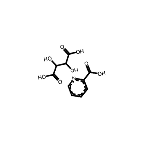 O=C(O)C(O)C(O)C(=O)O.O=C(O)c1ccccn1